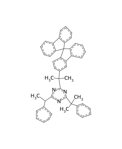 CC(c1ccccc1)c1nc(C(C)(C)c2ccccc2)nc(C(C)(C)c2ccc3c(c2)-c2ccccc2C32c3ccccc3-c3ccccc32)n1